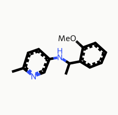 COc1ccccc1C(C)Nc1ccc(C)nc1